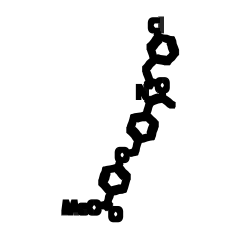 COC(=O)c1ccc(OCc2ccc(-c3nc(Cc4cccc(Cl)c4)oc3C)cc2)cc1